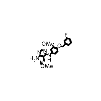 CON=Cc1c(N)ncnc1Nc1ccc(OCc2cccc(F)c2)c(OC)c1